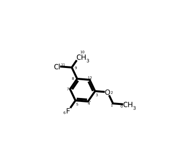 CCOc1[c]c(F)cc(C(C)Cl)c1